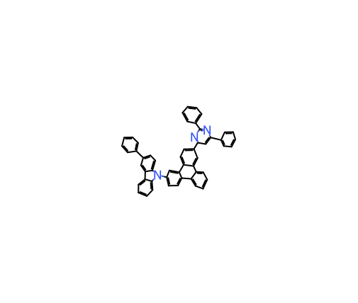 c1ccc(-c2ccc3c(c2)c2ccccc2n3-c2ccc3c4ccccc4c4cc(-c5cc(-c6ccccc6)nc(-c6ccccc6)n5)ccc4c3c2)cc1